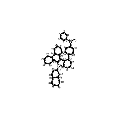 CN(c1ccccc1)c1ccc(-c2cccc3c2c2c4ccccc4c4ccccc4c2n3-c2ccc3ccccc3c2)cc1